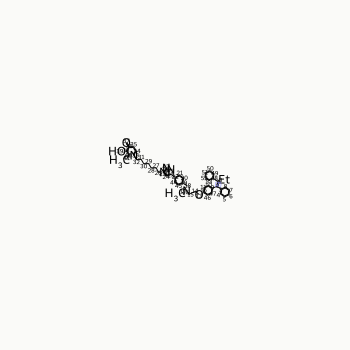 CC/C(=C(\c1ccccc1)c1ccc(OCCN(C)Cc2ccc(-c3cn(CCCCCCCn4ccc(=O)c(O)c4C)nn3)cc2)cc1)c1ccccc1